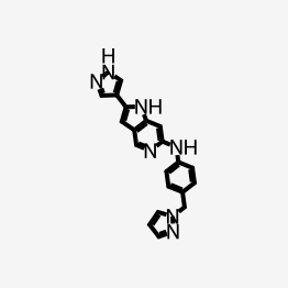 c1cnn(Cc2ccc(Nc3cc4[nH]c(-c5cn[nH]c5)cc4cn3)cc2)c1